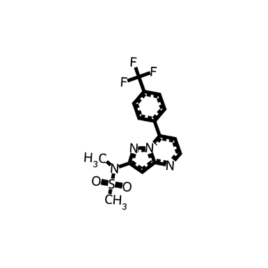 CN(c1cc2nccc(-c3ccc(C(F)(F)F)cc3)n2n1)S(C)(=O)=O